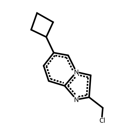 ClCc1cn2cc(C3CCC3)ccc2n1